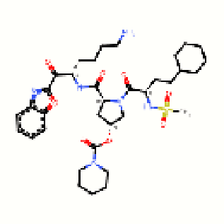 CS(=O)(=O)N[C@H](CCC1CCCCC1)C(=O)N1C[C@H](OC(=O)N2CCCCC2)C[C@H]1C(=O)N[C@@H](CCCCN)C(=O)c1nc2ccccc2o1